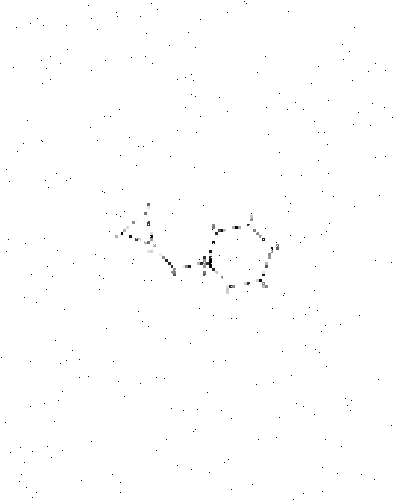 [CH](C1CC1)N1CCCCC1